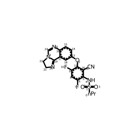 CCCS(=O)(=O)Nc1c(F)cc(F)c(Oc2ccc3c(c2)C2=NCCN2C=N3)c1C#N